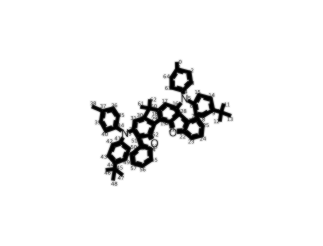 Cc1ccc(N(c2ccc(C(C)(C)C)cc2)c2cc3c(c4oc5ccccc5c24)-c2c(cc(N(c4ccc(C)cc4)c4ccc(C(C)(C)C)cc4)c4c2oc2ccccc24)C3(C)C)cc1